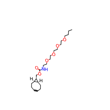 CCCCOCCOCCOCCOCCNC(=O)OC[C@@H]1[C@@H]2CCC#CCC[C@@H]21